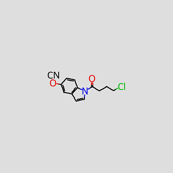 N#COc1ccc2c(ccn2C(=O)CCCCl)c1